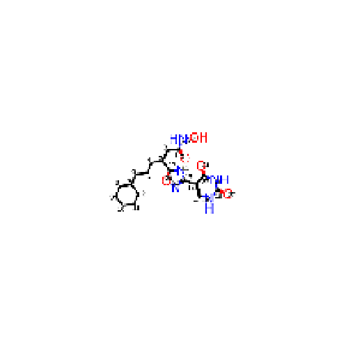 O=C(CC(CCCC1CCCCC1)c1nc(-c2c[nH]c(=O)[nH]c2=O)no1)NO